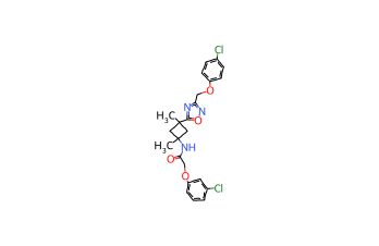 CC1(NC(=O)COc2cccc(Cl)c2)CC(C)(c2nc(COc3ccc(Cl)cc3)no2)C1